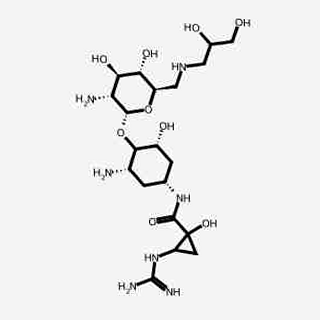 N=C(N)NC1CC1(O)C(=O)N[C@H]1C[C@@H](O)C(O[C@H]2O[C@H](CNCC(O)CO)[C@@H](O)[C@H](O)[C@H]2N)[C@@H](N)C1